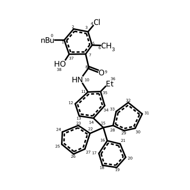 CCCCc1cc(Cl)c(C)c(C(=O)Nc2ccc(C(c3ccccc3)(c3ccccc3)c3ccccc3)cc2CC)c1O